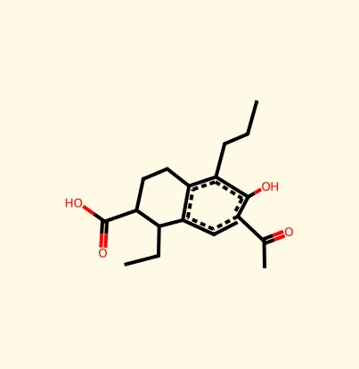 CCCc1c(O)c(C(C)=O)cc2c1CCC(C(=O)O)C2CC